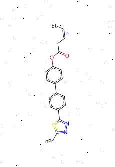 CC/C=C\CC(=O)Oc1ccc(-c2ccc(-c3nnc(CCC)s3)cc2)cc1